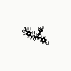 CNC(=O)c1ccc(C(C)NC(=O)c2cc(-c3ccc(Cl)cc3)nc(-c3cnn(C)c3)n2)cc1F